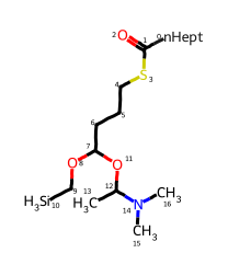 CCCCCCCC(=O)SCCCC(OC[SiH3])OC(C)N(C)C